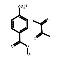 CC(=O)C(C)=O.CCCOC(=O)c1ccc(C(=O)O)cc1